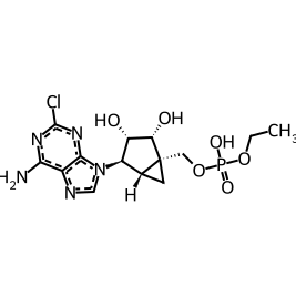 CCOP(=O)(O)OC[C@]12C[C@@H]1[C@@H](n1cnc3c(N)nc(Cl)nc31)[C@H](O)[C@@H]2O